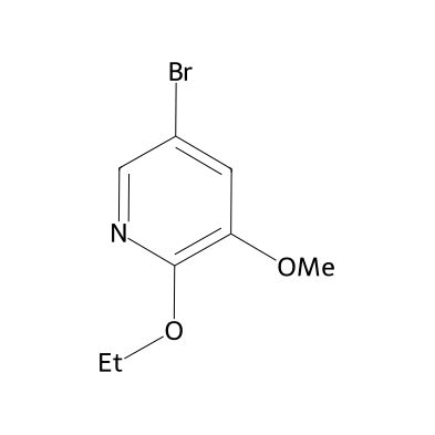 CCOc1ncc(Br)cc1OC